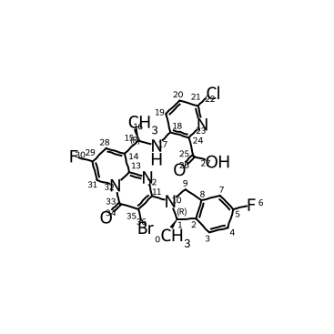 C[C@@H]1c2ccc(F)cc2CN1c1nc2c([C@@H](C)Nc3ccc(Cl)nc3C(=O)O)cc(F)cn2c(=O)c1Br